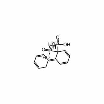 O=P(O)(O)C1(P(=O)(O)O)C=CC=CC1=C1C=CC=CC1